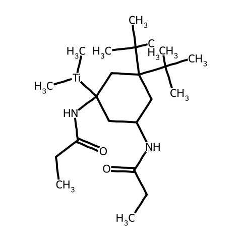 CCC(=O)NC1C[C](NC(=O)CC)([Ti]([CH3])[CH3])CC(C(C)(C)C)(C(C)(C)C)C1